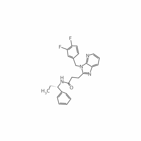 CC[C@H](NC(=O)CCc1nc2cccnc2n1Cc1ccc(F)c(F)c1)c1ccccc1